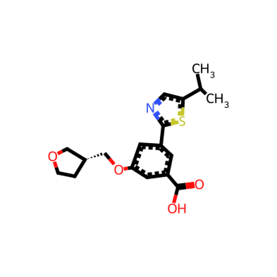 CC(C)c1cnc(-c2cc(OC[C@@H]3CCOC3)cc(C(=O)O)c2)s1